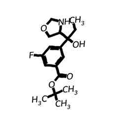 CCC(O)(c1cc(F)cc(C(=O)OC(C)(C)C)c1)C1COCN1